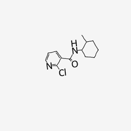 CC1CCCCC1NC(=O)c1cccnc1Cl